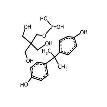 CC(C)(c1ccc(O)cc1)c1ccc(O)cc1.OCC(CO)(CO)COP(O)O